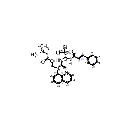 CN(C)CC(=O)OCN(C(=S)NC(NC(=O)/C=C/c1ccccc1)C(Cl)(Cl)Cl)c1cccc2cccnc12